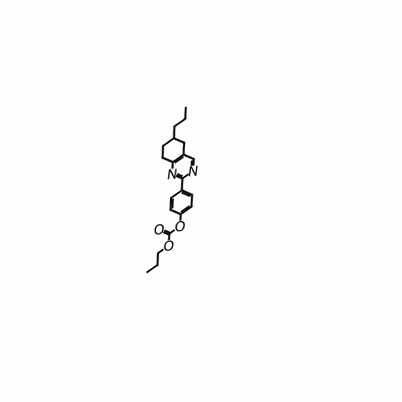 CCCOC(=O)Oc1ccc(-c2ncc3c(n2)CCC(CCC)C3)cc1